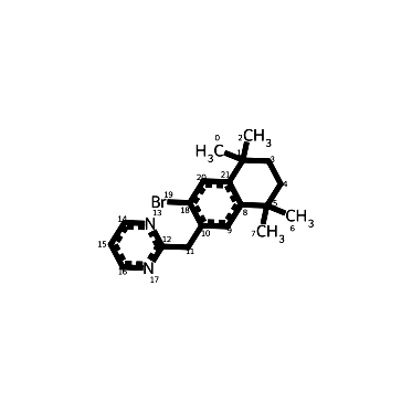 CC1(C)CCC(C)(C)c2cc(Cc3ncccn3)c(Br)cc21